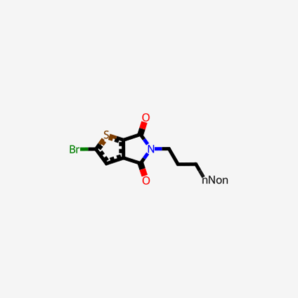 CCCCCCCCCCCCN1C(=O)c2cc(Br)sc2C1=O